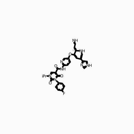 CC(C)n1cc(C(=O)Nc2ccc(OC3=CC(c4c[nH]cn4)=CN/C3=C\C=N)cn2)c(=O)n(-c2ccc(F)cc2)c1=O